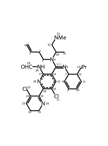 C=CCCN(/C(=N/C1C=CC=CC1C(C)C)c1cc(Cl)c(C2=NCCC=C2Cl)nc1NC=O)C(C)CNC